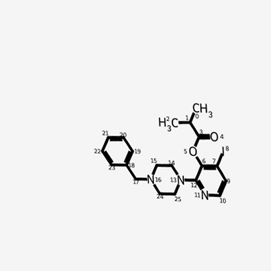 CC(C)C(=O)Oc1c(I)ccnc1N1CCN(Cc2ccccc2)CC1